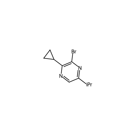 CC(C)c1cnc(C2CC2)c(Br)n1